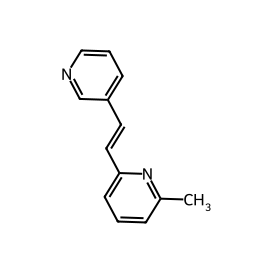 Cc1cccc(C=Cc2cccnc2)n1